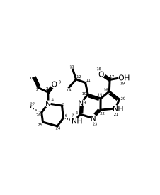 C=CC(=O)N1C[C@H](Nc2nc(CC(C)C)c3c(C(=O)O)c[nH]c3n2)CC[C@@H]1C